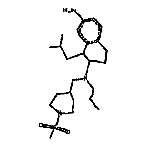 CCCN(CC1CCN(S(C)(=O)=O)CC1)C1CCc2ccc(N)cc2C1CC(C)C